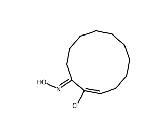 ON=C1CCCCCCCCCC=C1Cl